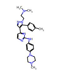 Cc1ccc(-c2c(-c3ccnc(Nc4ccc(N5CCN(C)CC5)cc4)n3)cnn2CCN(C)C)cc1